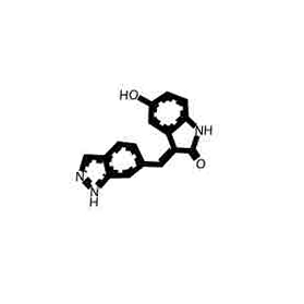 O=C1Nc2ccc(O)cc2/C1=C\c1ccc2cn[nH]c2c1